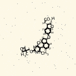 Cc1nc(OCC2(C)COC2)nc(C)c1-c1cccc2c1CC[C@H]2Oc1ccc2c(c1)OC[C@H]2CC(=O)O